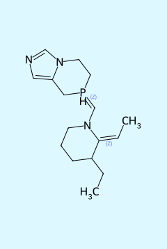 C/C=C1/C(CC)CCCN1/C=[PH]1/CCn2cncc2C1